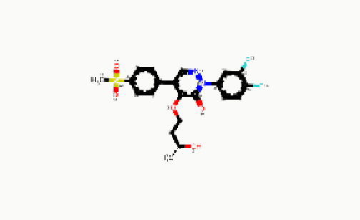 C[C@@H](O)CCOc1c(-c2ccc(S(C)(=O)=O)cc2)cnn(-c2ccc(F)c(F)c2)c1=O